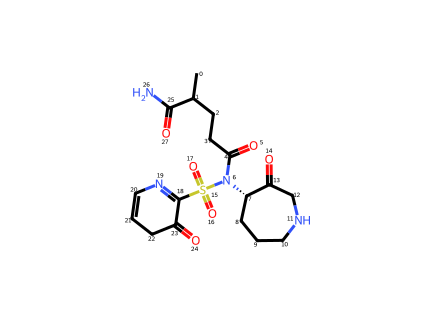 CC(C[CH]C(=O)N([C@H]1CCCNCC1=O)S(=O)(=O)C1=NC=CCC1=O)C(N)=O